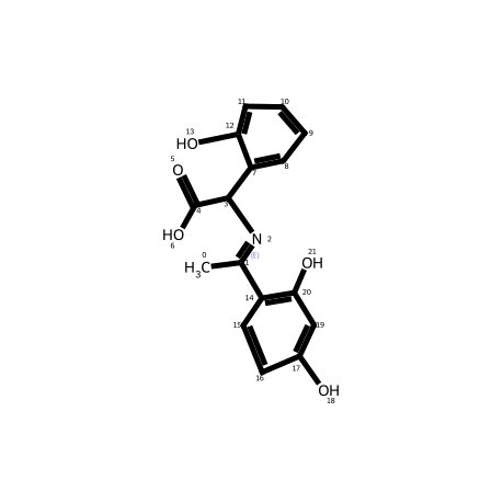 C/C(=N\C(C(=O)O)c1ccccc1O)c1ccc(O)cc1O